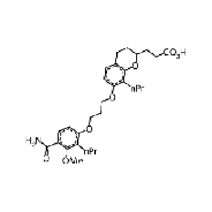 CCCc1c(OCCCOc2ccc(C(N)=O)c(OC)c2CCC)ccc2c1OC(CCC(=O)O)CC2